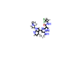 CNc1cc(-c2cn([C@H]3CCN(C)C3)c3ncccc23)nc2c(C(=O)N[C@@H]3CCC3(F)F)cnn12